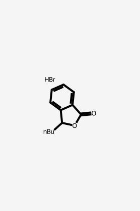 Br.CCCCC1OC(=O)c2ccccc21